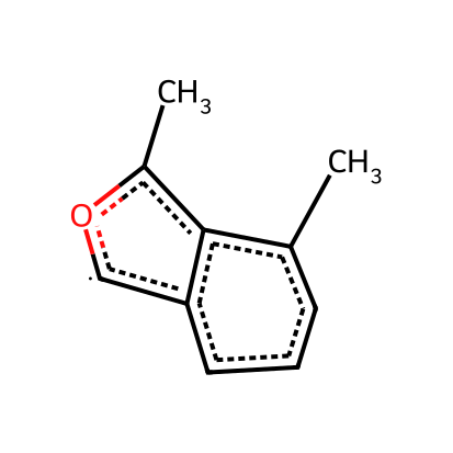 Cc1cccc2[c]oc(C)c12